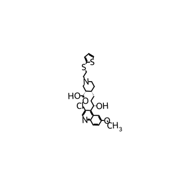 COc1ccc2ncc(Cl)c([C@@H](O)CC[C@H]3CCN(CCSc4cccs4)C[C@H]3C(=O)O)c2c1